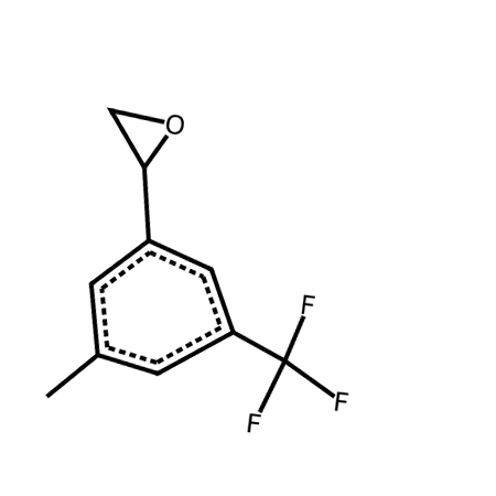 Cc1cc(C2CO2)cc(C(F)(F)F)c1